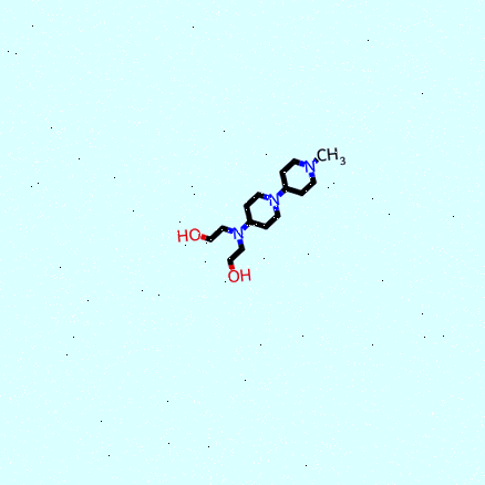 CN1CCC(N2CCC(N(CCO)CCO)CC2)CC1